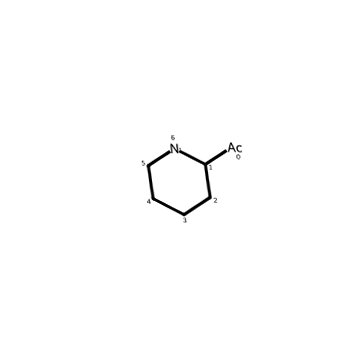 CC(=O)C1CCCC[N]1